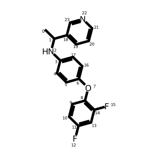 CC(Nc1ccc(Oc2ccc(F)cc2F)cc1)c1cccnc1